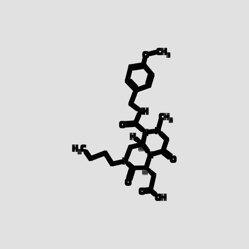 CCCCN1C[C@H]2N(C(=O)CN(C)N2C(=O)NCc2ccc(OC)cc2)[C@@H](CC(=O)O)C1=O